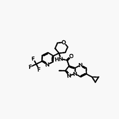 Cc1nn2cc(C3CC3)cnc2c1C(=O)NC1(c2ccc(C(F)(F)F)nc2)CCOCC1